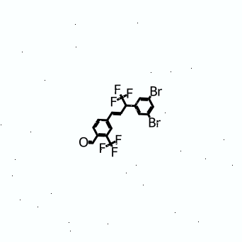 O=Cc1ccc(/C=C/C(c2cc(Br)cc(Br)c2)C(F)(F)F)cc1C(F)(F)F